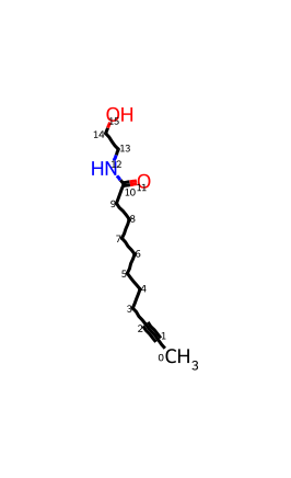 CC#CCCCCCCCC(=O)NCCO